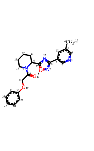 O=C(O)c1cncc(-c2noc(C3CCCCN3C(=O)COc3ccccc3)n2)c1